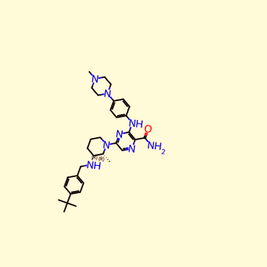 C[C@@H]1[C@H](NCc2ccc(C(C)(C)C)cc2)CCCN1c1cnc(C(N)=O)c(Nc2ccc(N3CCN(C)CC3)cc2)n1